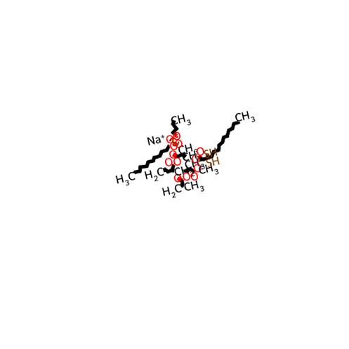 C=C(C)C(=O)OC=C(C)C(=O)OC.C=CCC(=C)C(=O)OC(=O)C(=C)C.CCCCCCCCCCCCC(S)(S)CC(=O)[O-].CCCCCCCCCCCCOS(=O)(=O)OCCCC.[Na+]